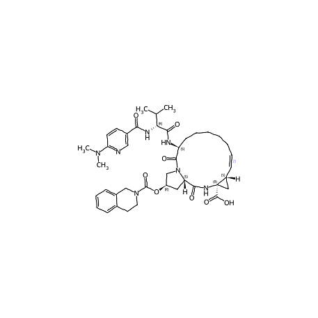 CC(C)[C@@H](NC(=O)c1ccc(N(C)C)nc1)C(=O)N[C@H]1CCCCC/C=C\[C@@H]2C[C@@]2(C(=O)O)NC(=O)[C@@H]2C[C@@H](OC(=O)N3CCc4ccccc4C3)CN2C1=O